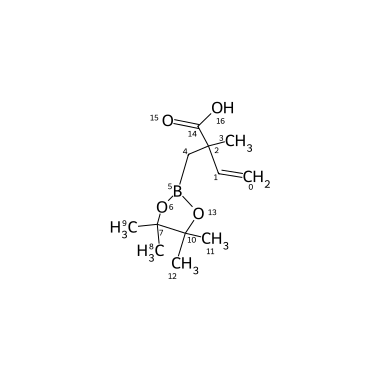 C=CC(C)(CB1OC(C)(C)C(C)(C)O1)C(=O)O